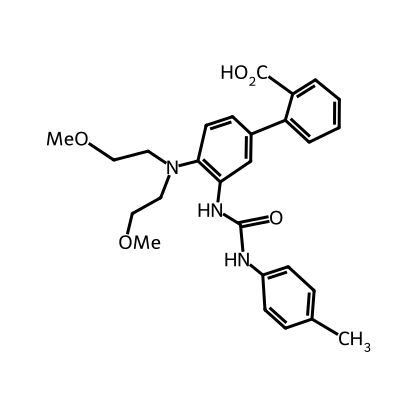 COCCN(CCOC)c1ccc(-c2ccccc2C(=O)O)cc1NC(=O)Nc1ccc(C)cc1